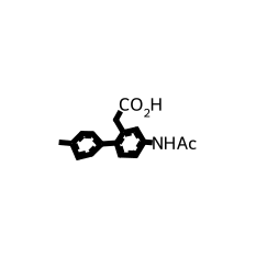 CC(=O)Nc1ccc(-c2ccc(C)cc2)c(CC(=O)O)c1